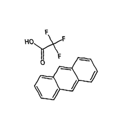 O=C(O)C(F)(F)F.c1ccc2cc3ccccc3cc2c1